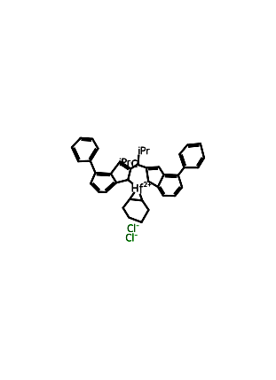 CC(C)CC1=Cc2c(-c3ccccc3)cccc2[CH]1[Hf+2]1([CH]2C(CC(C)C)=Cc3c(-c4ccccc4)cccc32)[CH]2CCCC[CH]21.[Cl-].[Cl-]